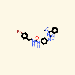 CN(C)c1nc(N[C@H]2CC[C@@H](NC(=O)NCCc3ccc(Br)cc3)CC2)nc2ccccc12